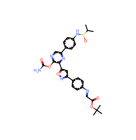 CC(C)[S+]([O-])Nc1ccc(-c2cnc(OC(N)=O)c(-c3cc(-c4ccc(N=CC(=O)OC(C)(C)C)cc4)no3)n2)cc1